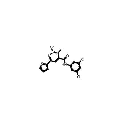 CN1C(C(=O)Nc2cc(Cl)cc(Cl)c2)=CC(c2cccs2)=N[S+]1[O-]